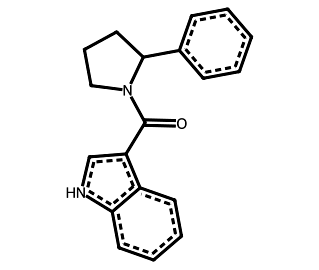 O=C(c1c[nH]c2ccccc12)N1CCCC1c1ccccc1